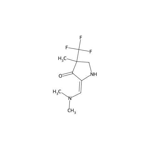 CN(C)/C=C1/NCC(C)(C(F)(F)F)C1=O